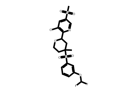 CC1(S(=O)(=O)c2cccc(OC(F)F)c2)CCOC(c2ncc(S(C)(=O)=O)cc2Cl)C1